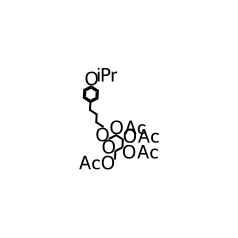 CC(=O)OCC1OC(OCCCCc2ccc(OC(C)C)cc2)C(OC(C)=O)C(OC(C)=O)C1OC(C)=O